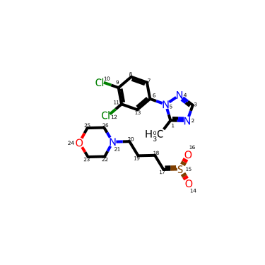 Cc1ncnn1-c1ccc(Cl)c(Cl)c1.O=S(=O)=CCCCN1CCOCC1